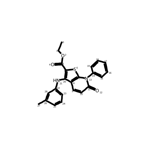 CCOC(=O)c1sc2c(ccc(=O)n2-c2ccccc2)c1Nc1cccc(C)c1